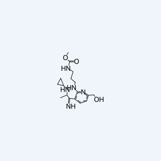 COC(=O)NCCCNc1nc(CO)ccc1C(=N)C(C)NC1CC1